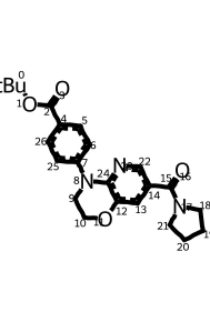 CC(C)(C)OC(=O)c1ccc(N2CCOc3cc(C(=O)N4CCCC4)cnc32)cc1